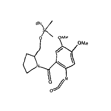 COc1cc(N=C=O)c(C(=O)N2CCCC2CO[Si](C)(C)C(C)(C)C)cc1OC